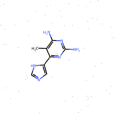 Cc1c(N)nc(N)nc1-c1cnc[nH]1